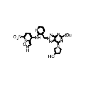 CC(C)(C)c1nc(N2CCC(O)C2)c2nn(Cc3cccnc3NC3=CC=C([N+](=O)[O-])N4ONC=C34)nc2n1